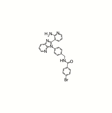 Nc1ncccc1-c1nc2cccnc2n1-c1ccc(CNC(=O)c2ccc(Br)cc2)cc1